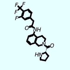 O=C(Cc1ccc(C(F)(F)F)c(F)c1)Nc1cccc2c1CCN(C(=O)[C@@H]1CCCN1)C2